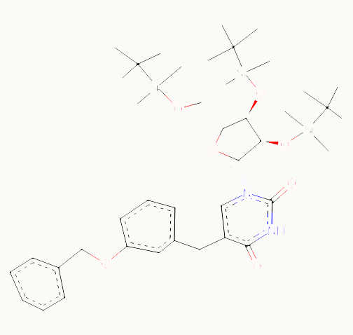 CC(C)(C)[Si](C)(C)OC[C@H]1O[C@@H](n2cc(Cc3cccc(OCc4ccccc4)c3)c(=O)[nH]c2=O)[C@H](O[Si](C)(C)C(C)(C)C)[C@@H]1O[Si](C)(C)C(C)(C)C